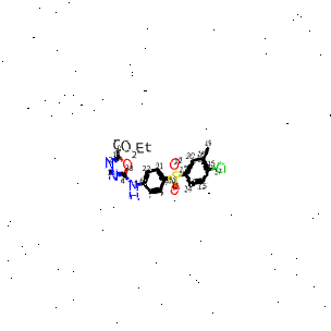 CCOC(=O)c1nnc(Nc2ccc(S(=O)(=O)c3ccc(Cl)c(C)c3)cc2)o1